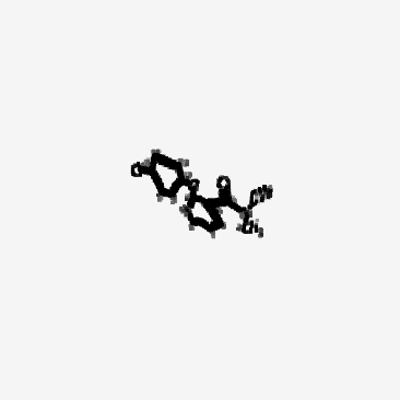 CON(C)C(=O)c1cccnc1Oc1ccc(Cl)cc1